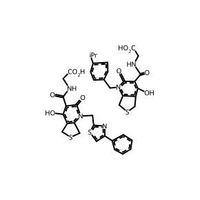 CC(C)c1ccc(Cn2c3c(c(O)c(C(=O)NCC(=O)O)c2=O)CSC3)cc1.O=C(O)CNC(=O)c1c(O)c2c(n(Cc3nc(-c4ccccc4)cs3)c1=O)CSC2